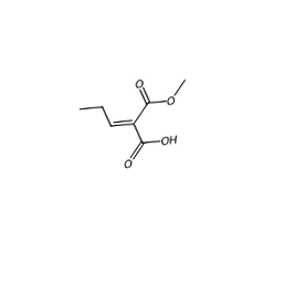 CCC=C(C(=O)O)C(=O)OC